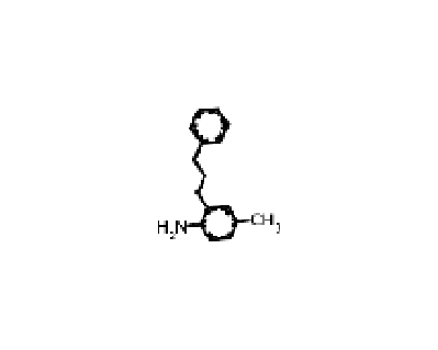 Cc1ccc(N)c(CCCc2ccccc2)c1